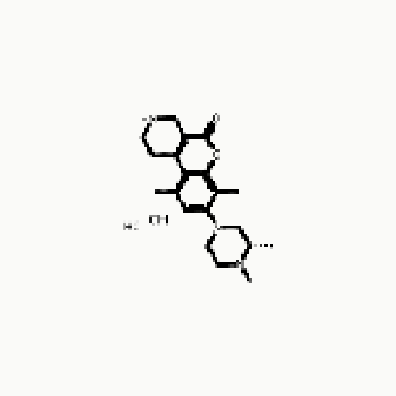 Cc1c(N2CCN(C)[C@@H](C)C2)cc(C)c2c3c(c(=O)oc12)CNCC3.Cl.Cl